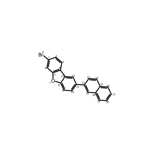 Brc1ccc2c(c1)oc1ccc(-c3ccc4ccccc4c3)cc12